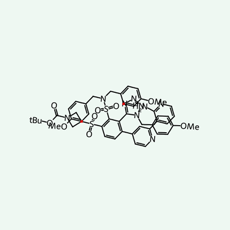 COc1ccc(CN(Cc2ccc(OC)cc2)S(=O)(=O)c2c(S(=O)(=O)C3CN(C(=O)OC(C)(C)C)C3)ccc(-c3ccnc(-c4cccnc4N)c3)c2-c2nnnn2Cc2ccc(OC)cc2)cc1